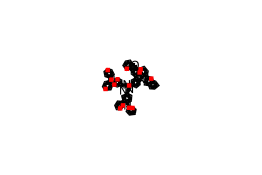 c1ccc(-n2c3ccccc3c3cc(-c4nc(-c5ccc(-n6c7ccccc7c7cc8ccccc8cc76)c(-c6ccc7oc8ccccc8c7c6)c5)nc(-c5ccc6c(c5)c5ccccc5n6-c5ccccc5)n4)ccc32)cc1